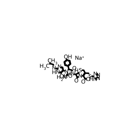 CC(C)CNc1ncc(N(C(N)=O)C(C(=O)NC2C(=O)N3C(C(=O)[O-])=C(CSc4nnn[nH]4)CS[C@H]23)c2ccc(O)cc2)c(O)n1.[Na+]